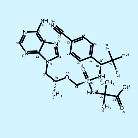 C[C@H](Cn1cnc2c(N)ncnc21)OC[P@@](=O)(N[C@@H](c1ccc(C#N)cc1)C(F)(F)F)NC(C)(C)C(=O)O